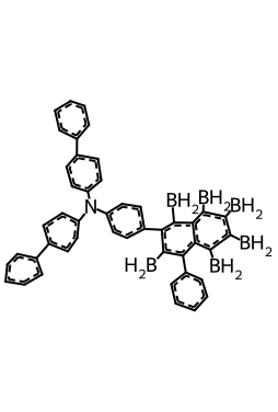 Bc1c(B)c(B)c2c(-c3ccccc3)c(B)c(-c3ccc(N(c4ccc(-c5ccccc5)cc4)c4ccc(-c5ccccc5)cc4)cc3)c(B)c2c1B